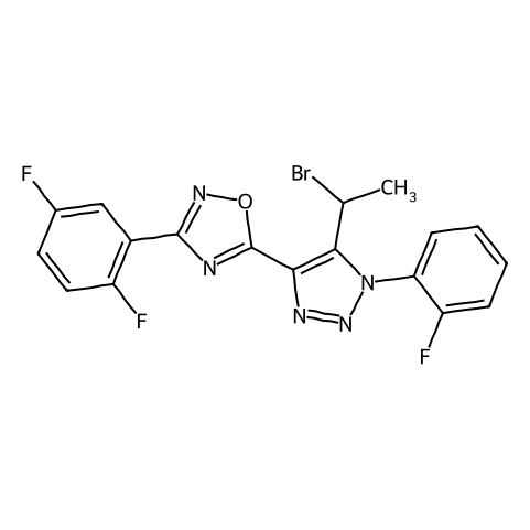 CC(Br)c1c(-c2nc(-c3cc(F)ccc3F)no2)nnn1-c1ccccc1F